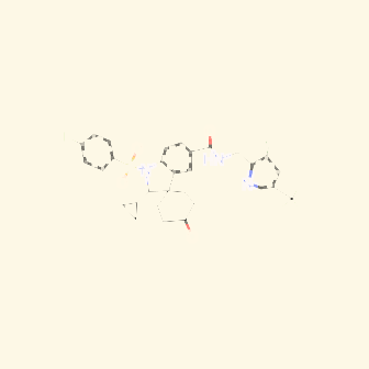 O=C1CCC2(CC1)c1cc(C(=O)NCc3ncc(C(F)(F)F)cc3Cl)ccc1N(S(=O)(=O)c1ccc(F)cc1)C2C1CC1